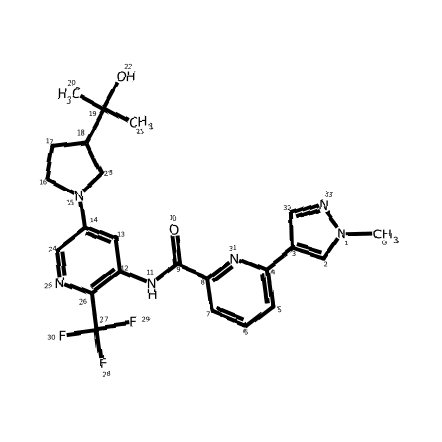 Cn1cc(-c2cccc(C(=O)Nc3cc(N4CCC(C(C)(C)O)C4)cnc3C(F)(F)F)n2)cn1